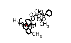 CC(=O)O[C@H](C(=O)O[C@@H](C)C(=O)OC1=CC[C@@]2(O)[C@H]3Cc4ccc(C)c5c4[C@@]2(CCN3C)[C@H]1O5)c1ccccc1